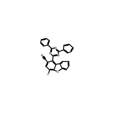 N#Cc1cc(F)c2oc3ccccc3c2c1-c1nc(-c2ccccc2)nc(-c2ccccc2)n1